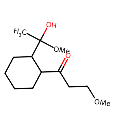 COCCC(=O)C1CCCCC1C(C)(O)OC